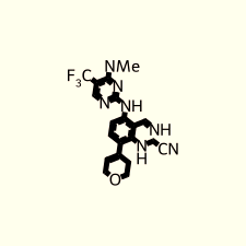 CNc1nc(Nc2ccc(C3=CCOCC3)c(NCC#N)c2C=N)ncc1C(F)(F)F